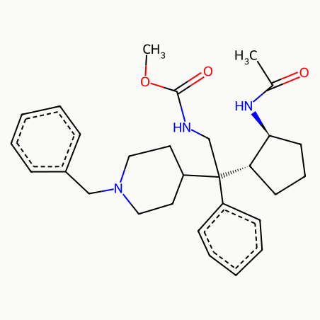 COC(=O)NCC(c1ccccc1)(C1CCN(Cc2ccccc2)CC1)[C@H]1CCC[C@@H]1NC(C)=O